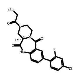 CC(C)(C)CC(=O)N1CCN2C(=O)c3cc(-c4ccc(Cl)cc4F)ccc3NC(=O)[C@H]2C1